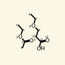 CCOC(C)=O.CCOCCC(=O)O